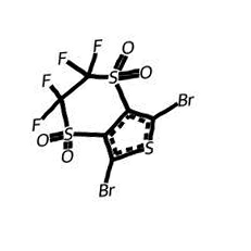 O=S1(=O)c2c(Br)sc(Br)c2S(=O)(=O)C(F)(F)C1(F)F